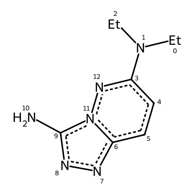 CCN(CC)c1ccc2nnc(N)n2n1